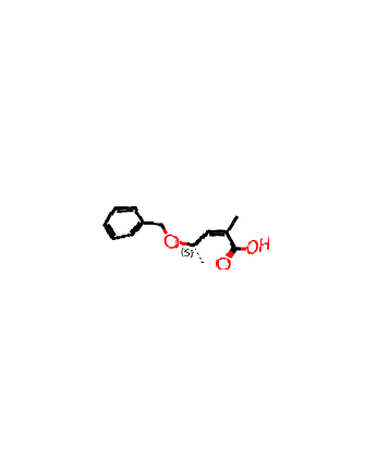 CC(=C[C@H](C)OCc1ccccc1)C(=O)O